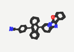 N#Cc1ccc(-c2c3ccccc3c(-c3ccc4nc5c6ccccc6oc5n4c3)c3ccccc23)cc1